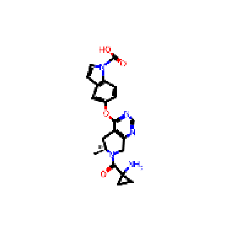 C[C@H]1Cc2c(ncnc2Oc2ccc3c(ccn3C(=O)O)c2)CN1C(=O)C1(N)CC1